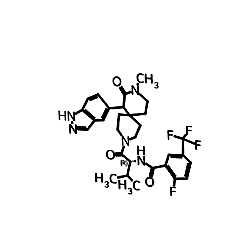 CC(C)[C@@H](NC(=O)c1cc(C(F)(F)F)ccc1F)C(=O)N1CCC2(CCN(C)C(=O)C2c2ccc3[nH]ncc3c2)CC1